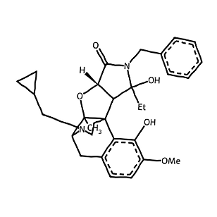 CCC1(O)C2[C@H](OC3(C)C4Cc5ccc(OC)c(O)c5C23CCN4CC2CC2)C(=O)N1Cc1ccccc1